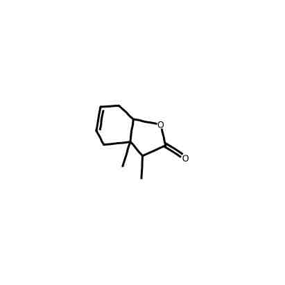 CC1C(=O)OC2CC=CCC21C